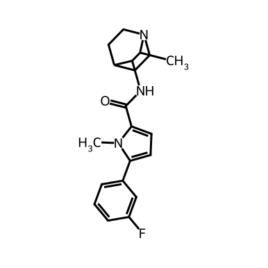 CC1C(NC(=O)c2ccc(-c3cccc(F)c3)n2C)C2CCN1CC2